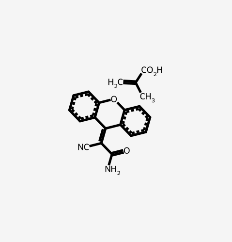 C=C(C)C(=O)O.N#CC(C(N)=O)=C1c2ccccc2Oc2ccccc21